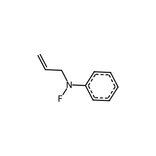 C=CCN(F)c1ccccc1